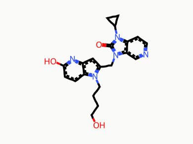 O=c1n(Cc2cc3nc(O)ccc3n2CCCCO)c2cnccc2n1C1CC1